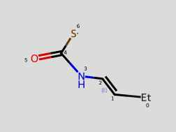 CC/C=C/NC(=O)[S]